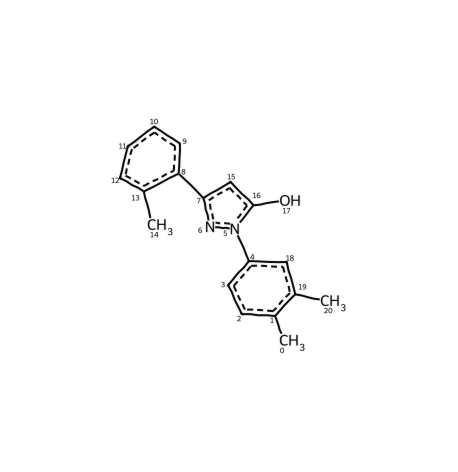 Cc1ccc(-n2nc(-c3ccccc3C)cc2O)cc1C